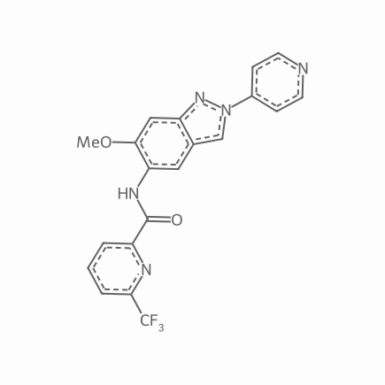 COc1cc2nn(-c3ccncc3)cc2cc1NC(=O)c1cccc(C(F)(F)F)n1